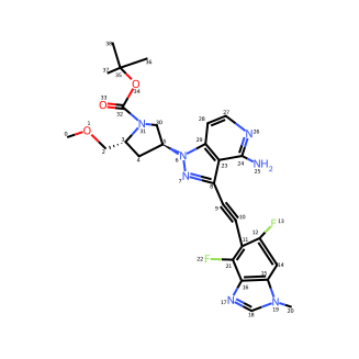 COC[C@H]1C[C@H](n2nc(C#Cc3c(F)cc4c(ncn4C)c3F)c3c(N)nccc32)CN1C(=O)OC(C)(C)C